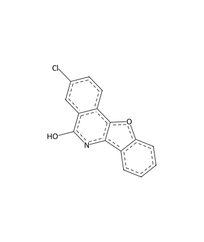 Oc1nc2c3ccccc3oc2c2ccc(Cl)cc12